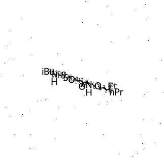 CCCC(/C=C/COCCNCC(=O)CCCOCSSCCNC(C)CC)CC